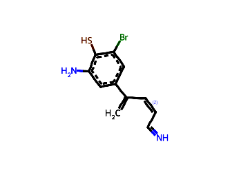 C=C(/C=C\C=N)c1cc(N)c(S)c(Br)c1